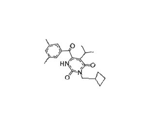 Cc1cc(C)cc(C(=O)c2[nH]c(=O)n(CC3CCC3)c(=O)c2C(C)C)c1